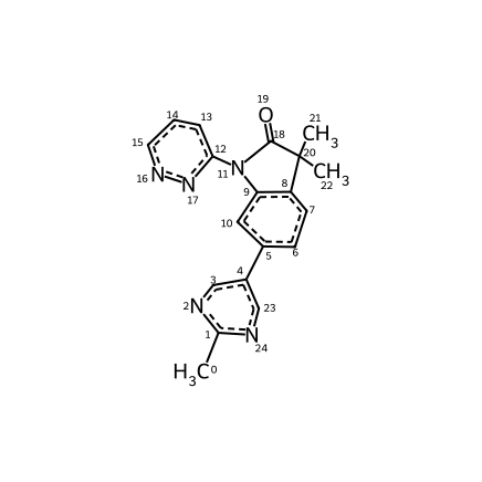 Cc1ncc(-c2ccc3c(c2)N(c2cccnn2)C(=O)C3(C)C)cn1